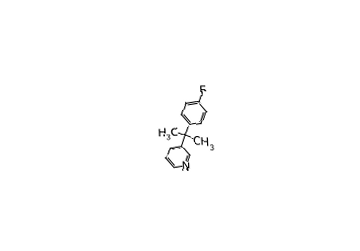 CC(C)(c1ccc(F)cc1)c1cccnc1